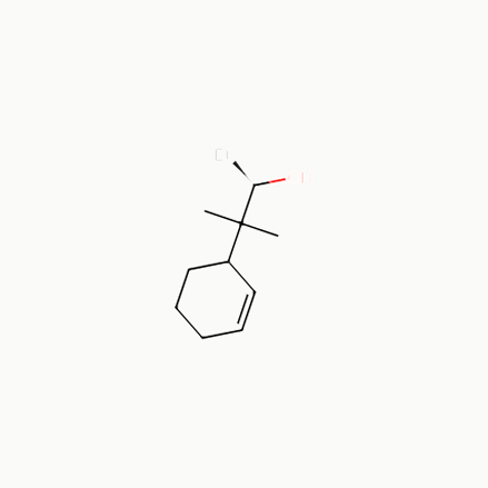 CC[C@@H](O)C(C)(C)C1C=CCCC1